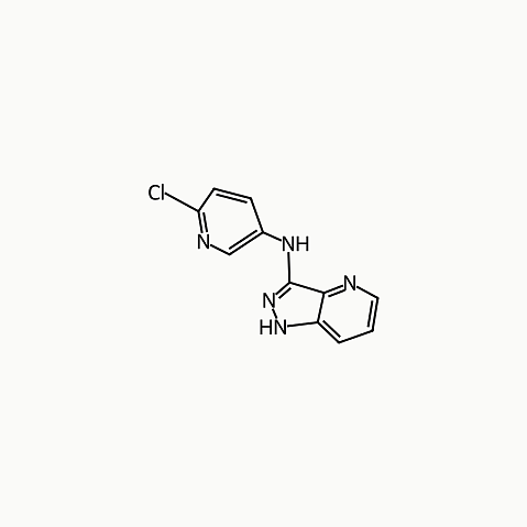 Clc1ccc(Nc2n[nH]c3cccnc23)cn1